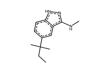 CCC(C)(C)c1ccc2[nH]nc(NC)c2c1